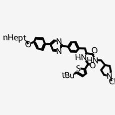 CCCCCCCOc1ccc(-c2cnc(-c3ccc(CC(NC(=O)c4ccc(C(C)(C)C)s4)C(=O)NCC4CCN(C)CC4)cc3)nc2)cc1